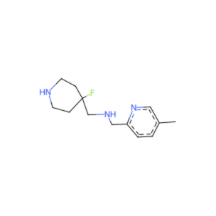 Cc1ccc(CNCC2(F)CCNCC2)nc1